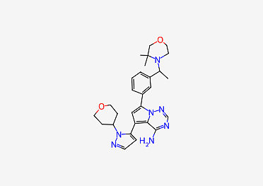 CC(c1cccc(-c2cc(-c3ccnn3C3CCOCC3)c3c(N)ncnn23)c1)N1CCOCC1(C)C